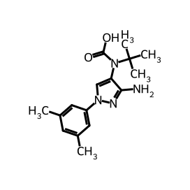 Cc1cc(C)cc(-n2cc(N(C(=O)O)C(C)(C)C)c(N)n2)c1